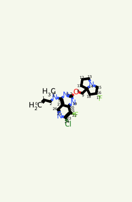 C=CCN(C)c1nc(OCC23CCCN2C[C@H](F)C3)nc2c(F)c(Cl)ncc12